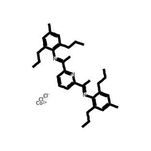 CCCc1cc(C)cc(CCC)c1N=C(C)c1cccc(C(C)=Nc2c(CCC)cc(C)cc2CCC)n1.[Cl-].[Cl-].[Co+2]